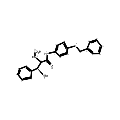 CC(C)(C)[C@@H](c1ccccc1)C(NC(=O)O)C(=O)Nc1ccc(SCc2ccccc2)cc1